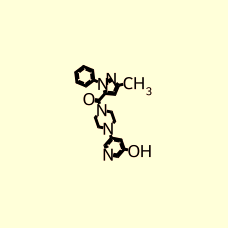 Cc1cc(C(=O)N2CCN(c3cncc(O)c3)CC2)n(-c2ccccc2)n1